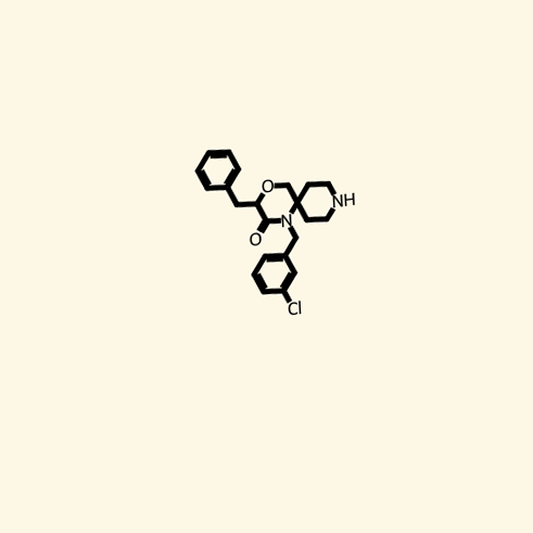 O=C1C(Cc2ccccc2)OCC2(CCNCC2)N1Cc1cccc(Cl)c1